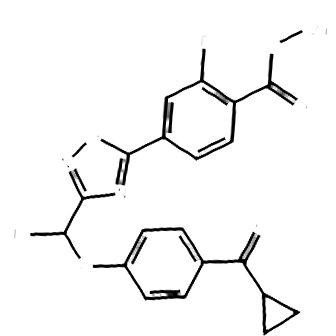 CCC(Oc1ccc(C(=O)C2CC2)cc1)c1noc(-c2ccc(C(=O)OC(C)(C)C)c(F)c2)n1